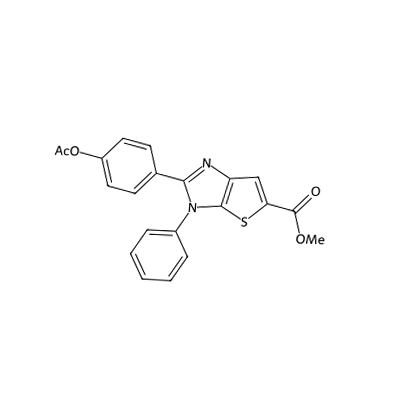 COC(=O)c1cc2nc(-c3ccc(OC(C)=O)cc3)n(-c3ccccc3)c2s1